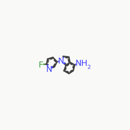 Nc1cccc2c1ccn2-c1ccc(F)nc1